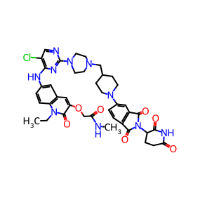 CCn1c(=O)c(OCC(=O)NC)cc2cc(Nc3nc(N4CCN(CC5CCN(c6ccc7c(c6)C(=O)N(C6CCC(=O)NC6=O)C7=O)CC5)CC4)ncc3Cl)ccc21